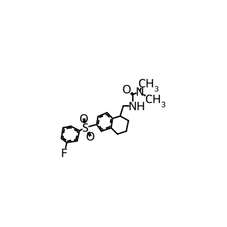 CN(C)C(=O)NCC1CCCc2cc(S(=O)(=O)c3cccc(F)c3)ccc21